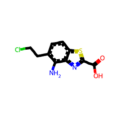 Nc1c(CCCl)ccc2sc(C(=O)O)nc12